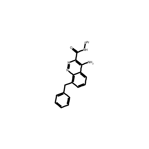 CCCNC(=O)c1nnc2c(Cc3ccccc3)cccc2c1N